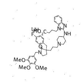 COc1cc(CN2CCC(CCCN3CCC(Nc4nc5ccccc5n4CCCC(=O)O)CC3)(Cc3ccc(F)cc3)C2=O)cc(OC)c1OC.[LiH]